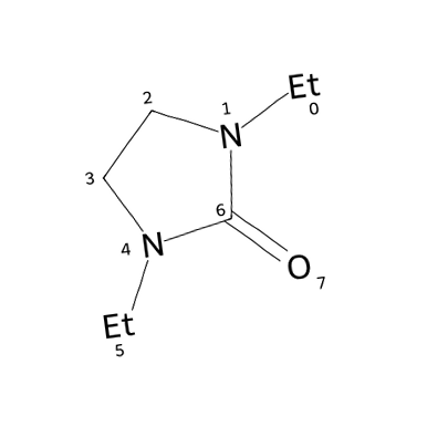 CCN1CCN(CC)C1=O